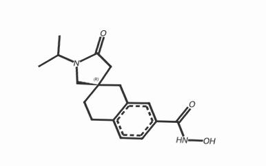 CC(C)N1C[C@@]2(CCc3ccc(C(=O)NO)cc3C2)CC1=O